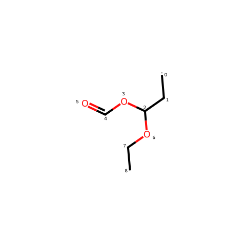 [CH2]CC(OC=O)OCC